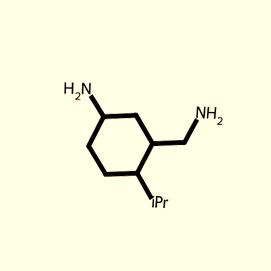 CC(C)C1CCC(N)CC1CN